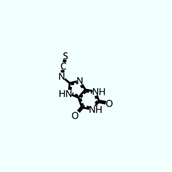 O=c1[nH]c(=O)c2[nH]c(N=C=S)nc2[nH]1